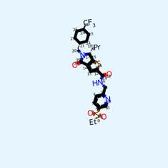 CCS(=O)(=O)c1ccc(CNC(=O)c2cc3c(s2)[C@@H](C(C)C)N(C[C@H]2CC[C@H](C(F)(F)F)CC2)C3=O)nc1